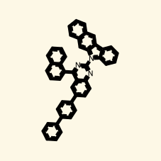 c1ccc(-c2ccc(-c3ccc4nc(-n5c6ccccc6c6cc7ccccc7cc65)nc(-c5cccc6ccccc56)c4c3)cc2)cc1